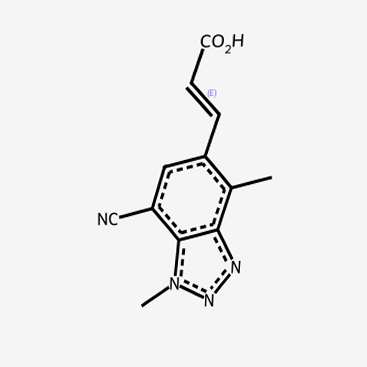 Cc1c(/C=C/C(=O)O)cc(C#N)c2c1nnn2C